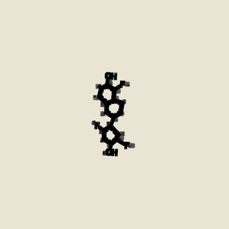 Oc1cc(F)c(-c2ccc3c(F)c(O)ccc3c2)cc1F